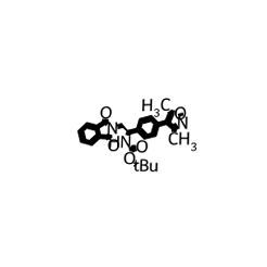 Cc1noc(C)c1-c1ccc([C@H](CN2C(=O)c3ccccc3C2=O)NC(=O)OC(C)(C)C)cc1